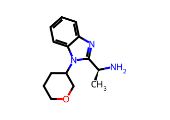 C[C@H](N)c1nc2ccccc2n1C1CCCOC1